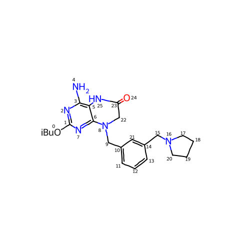 CC(C)COc1nc(N)c2c(n1)N(Cc1cccc(CN3CCCC3)c1)CC(=O)N2